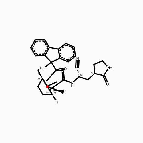 N#C[C@H](C[C@H]1CCNC1=O)NC(=O)[C@@H]1[C@@H]2CC[C@@H](CC2(F)F)N1C(=O)C1(O)c2ccccc2-c2ccccc21